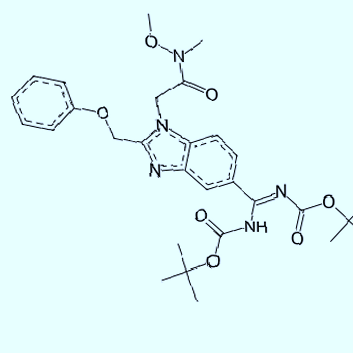 CON(C)C(=O)Cn1c(COc2ccccc2)nc2cc(C(=NC(=O)OC(C)(C)C)NC(=O)OC(C)(C)C)ccc21